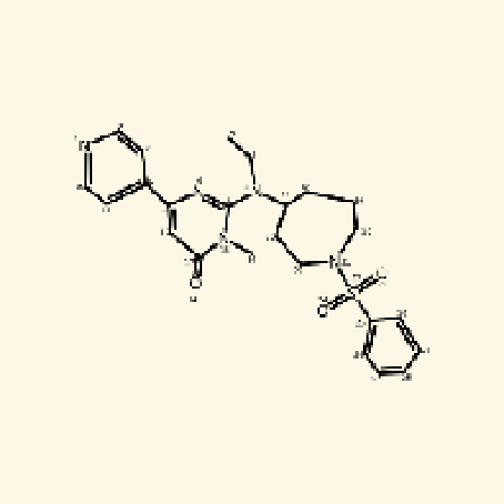 CCN(c1nc(-c2ccncc2)cc(=O)n1C)C1CCCN(S(=O)(=O)c2ccccc2)CC1